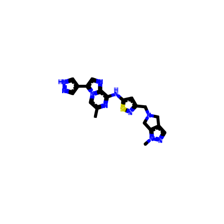 Cc1cn2c(-c3cn[nH]c3)cnc2c(Nc2cc(CN3Cc4cnn(C)c4C3)ns2)n1